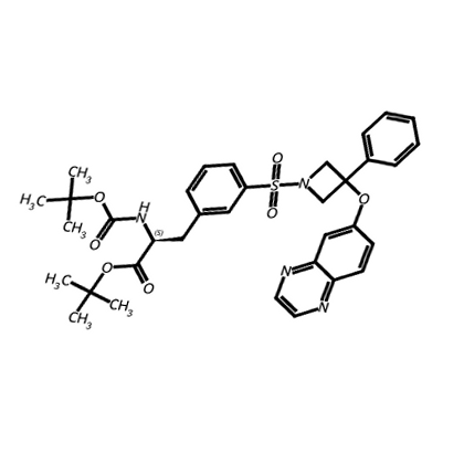 CC(C)(C)OC(=O)N[C@@H](Cc1cccc(S(=O)(=O)N2CC(Oc3ccc4nccnc4c3)(c3ccccc3)C2)c1)C(=O)OC(C)(C)C